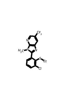 CCSc1c(Cl)cccc1-c1nc2cc(C(F)(F)F)cnc2n1C